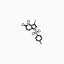 Cc1ccc(S(=O)(=O)n2cc(I)c3[nH]c(=O)ccc32)cc1